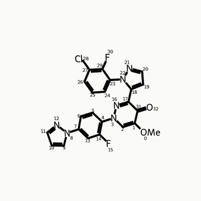 COc1cn(-c2ccc(-n3cccn3)cc2F)nc(-c2ccnn2-c2cccc(Cl)c2F)c1=O